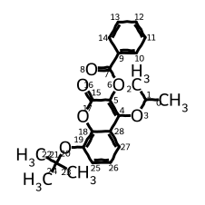 CC(C)Oc1c(OC(=O)c2ccccc2)c(=O)oc2c(OC(C)(C)C)cccc12